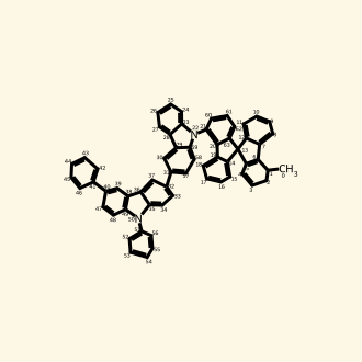 CC1CC=CC2=C1c1ccccc1C21c2ccccc2-c2c(-n3c4ccccc4c4cc(-c5ccc6c(c5)c5cc(-c7ccccc7)ccc5n6-c5ccccc5)ccc43)cccc21